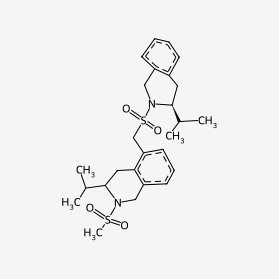 CC(C)C1Cc2c(cccc2CS(=O)(=O)N2Cc3ccccc3C[C@H]2C(C)C)CN1S(C)(=O)=O